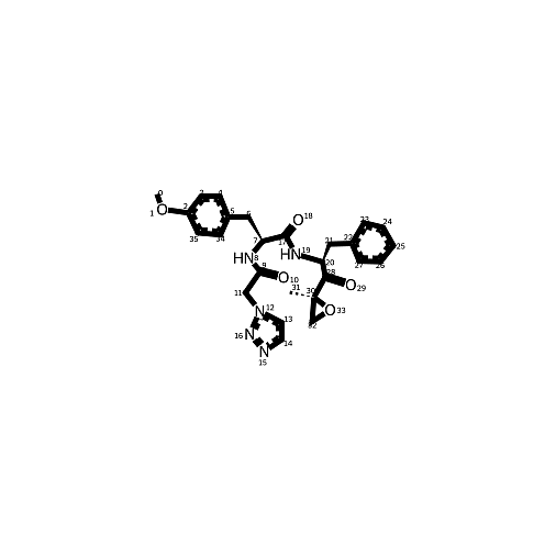 COc1ccc(C[C@H](NC(=O)Cn2ccnn2)C(=O)N[C@@H](Cc2ccccc2)C(=O)[C@]2(C)CO2)cc1